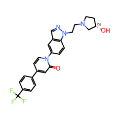 O=c1cc(-c2ccc(C(F)(F)F)cc2)ccn1-c1ccc2c(cnn2CCN2CC[C@H](O)C2)c1